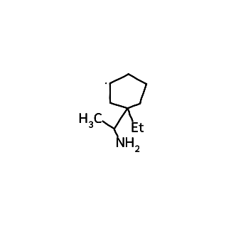 CCC1(C(C)N)C[CH]CCC1